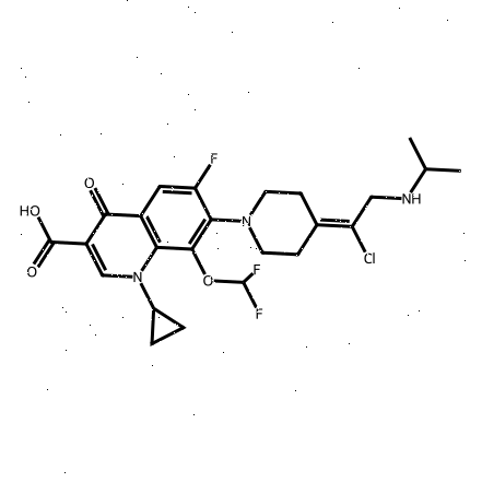 CC(C)NCC(Cl)=C1CCN(c2c(F)cc3c(=O)c(C(=O)O)cn(C4CC4)c3c2OC(F)F)CC1